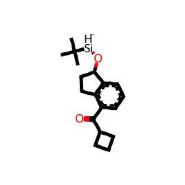 C[SiH](OC1CCc2c(C(=O)C3CCC3)cccc21)C(C)(C)C